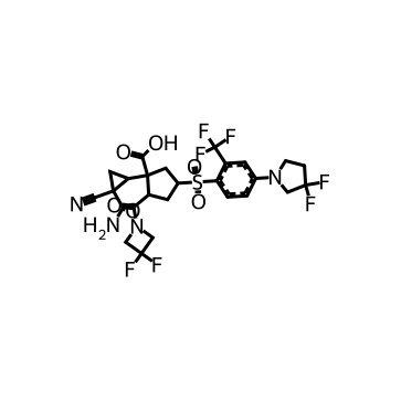 N#CC1(C(N)=O)CC1C1(C(=O)O)CC(S(=O)(=O)c2ccc(N3CCC(F)(F)C3)cc2C(F)(F)F)CC1C(=O)N1CC(F)(F)C1